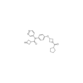 O=C(C1CCCC1)N1CC(Oc2ccc(N(C(=O)C3CNC3)c3ccnnc3)cc2)C1